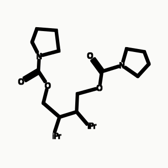 CC(C)C(COC(=O)N1CCCC1)C(COC(=O)N1CCCC1)C(C)C